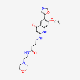 COc1cc2[nH]c(NCCCC(=O)NCCN3CCOCC3)cc(=O)c2cc1-c1cnco1